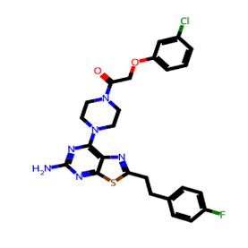 Nc1nc(N2CCN(C(=O)COc3cccc(Cl)c3)CC2)c2nc(CCc3ccc(F)cc3)sc2n1